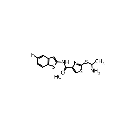 CC(N)Sc1nc(C(=O)Nc2cc3cc(F)ccc3s2)cs1.Cl